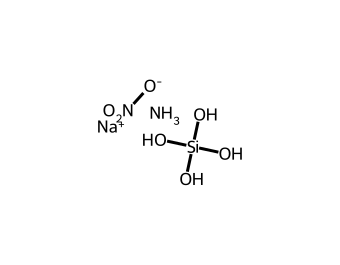 N.O=[N+]([O-])[O-].O[Si](O)(O)O.[Na+]